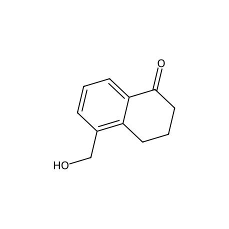 O=C1CCCc2c(CO)cccc21